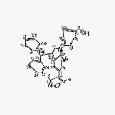 Cc1noc(C)c1-c1cnc2c(c1)c(C(c1ccccc1)c1ccccc1)cn2-c1ccc(CO)cc1